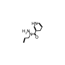 C=CCN(N)C(=O)C1=CNC=CC1